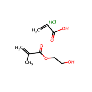 C=C(C)C(=O)OCCO.C=CC(=O)O.Cl